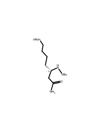 CCCCCCCCCCCCC[C@@H](CC(N)=O)NCCCC